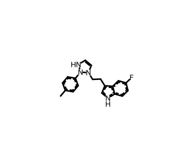 Cc1ccc(N2NC=CN2CCc2c[nH]c3ccc(F)cc23)cc1